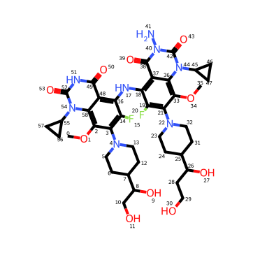 COc1c(N2CCC(C(O)CO)CC2)c(F)c(Nc2c(F)c(N3CCC(C(O)CCO)CC3)c(OC)c3c2c(=O)n(N)c(=O)n3C2CC2)c2c(=O)[nH]c(=O)n(C3CC3)c12